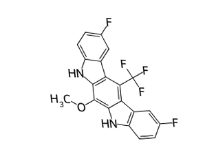 COc1c2[nH]c3ccc(F)cc3c2c(C(F)(F)F)c2c1[nH]c1ccc(F)cc12